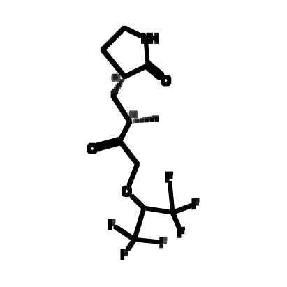 C[C@@H](C[C@@H]1CCNC1=O)C(=O)COC(C(F)(F)F)C(F)(F)F